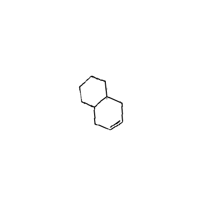 C1=CCC2CCCC[C]2C1